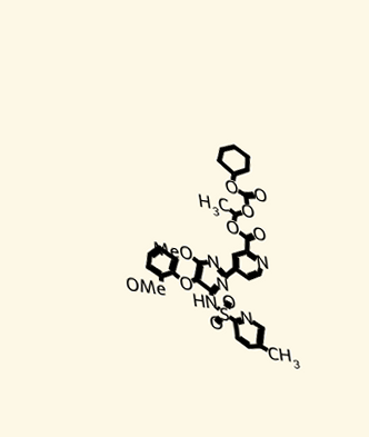 COc1ccccc1Oc1c(NS(=O)(=O)c2ccc(C)cn2)nc(-c2ccnc(C(=O)OC(C)OC(=O)OC3CCCCC3)c2)nc1OC